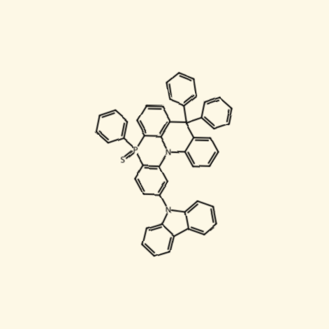 S=P1(c2ccccc2)c2ccc(-n3c4ccccc4c4ccccc43)cc2N2c3ccccc3C(c3ccccc3)(c3ccccc3)c3cccc1c32